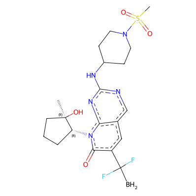 BC(F)(F)c1cc2cnc(NC3CCN(S(C)(=O)=O)CC3)nc2n([C@@H]2CCC[C@@]2(C)O)c1=O